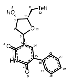 O=c1[nH]c(=O)n([C@H]2C[C@H](O)[C@@H](C[TeH])O2)cc1-c1ccccc1